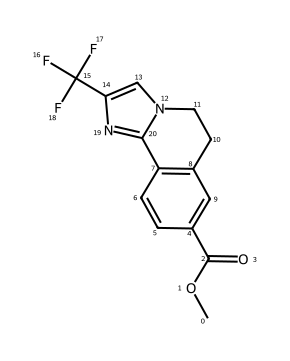 COC(=O)c1ccc2c(c1)CCn1cc(C(F)(F)F)nc1-2